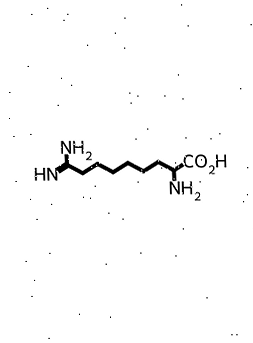 N=C(N)CCCCCCC(N)C(=O)O